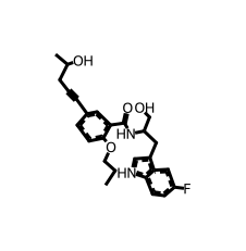 CCCOc1ccc(C#CCC(C)O)cc1C(=O)NC(CO)Cc1c[nH]c2ccc(F)cc12